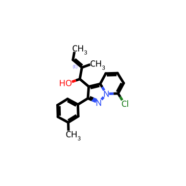 C/C=C(\C)C(O)c1c(-c2cccc(C)c2)nn2c(Cl)cccc12